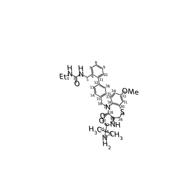 CCNC(=O)NCc1ccccc1-c1ccc(CN2C(=O)[C@H](NC(=O)C(C)(C)N)CSc3cc(OC)ccc32)cc1